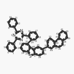 c1ccc(-c2nc(-c3ccccc3)nc(-c3ccccc3-c3cccc4sc5ccc(-c6ccc7c(ccc8ccccc87)c6)cc5c34)n2)cc1